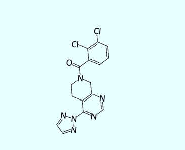 O=C(c1cccc(Cl)c1Cl)N1CCc2c(ncnc2-n2nccn2)C1